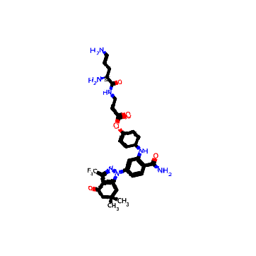 CC1(C)CC(=O)c2c(C(F)(F)F)nn(-c3ccc(C(N)=O)c(NC4CCC(OC(=O)CCNC(=O)[C@@H](N)CCCN)CC4)c3)c2C1